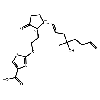 C=CCCC(C)(O)CC=C[C@H]1CCC(=O)[C@@H]1CCSc1nc(C(=O)O)cs1